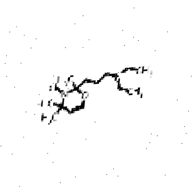 CCN(CC)CCCC1(C)OC=CC(C)(C)N1Cl